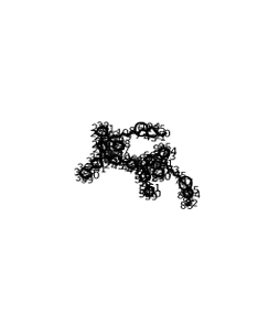 C=Cc1ccc(OCCCCCCC2(c3ccccc3)c3ccccc3-c3ccc(N(c4ccc(-c5ccccc5)cc4)c4ccc(-c5ccc(N(c6ccc(-c7ccccc7)cc6)c6ccc7c(c6)C(CCCCCCOc6ccc(C=C)cc6)(c6ccccc6)c6ccccc6-7)cc5)cc4)cc32)cc1